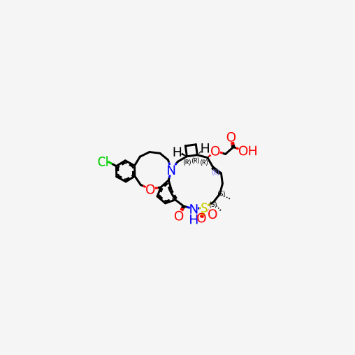 C[C@H]1C/C=C/[C@H](OCC(=O)O)[C@@H]2CC[C@H]2CN2CCCCc3cc(Cl)ccc3COc3ccc(cc32)C(=O)NS(=O)(=O)[C@H]1C